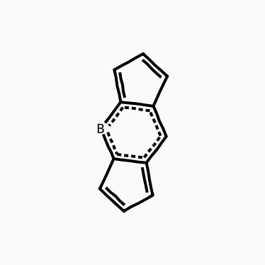 b1c2c(cc3c1=CC=C3)=CC=C2